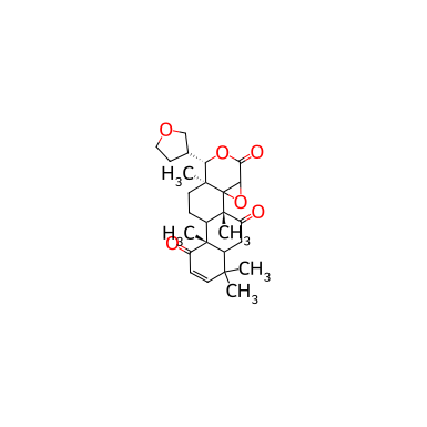 CC1(C)C=CC(=O)[C@@]2(C)C1CC(=O)[C@]1(C)C2CC[C@@]2(C)[C@H](C3CCOC3)OC(=O)C3OC321